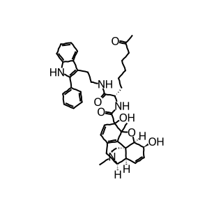 CC(=O)CCCCC[C@H](NC(=O)C1(O)C=CC2=C3C1(C)O[C@H]1[C@@H](O)C=C[C@H]4[C@@H](C2)N(C)CC[C@@]341)C(=O)NCCc1c(-c2ccccc2)[nH]c2ccccc12